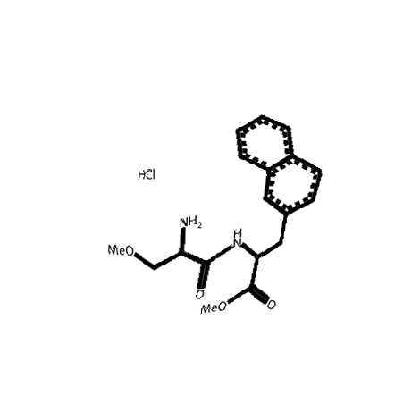 COCC(N)C(=O)NC(Cc1ccc2ccccc2c1)C(=O)OC.Cl